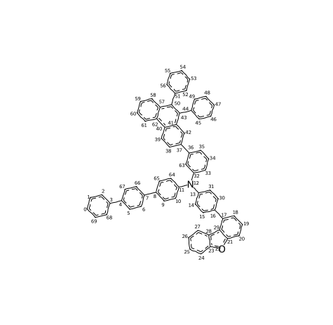 c1ccc(-c2ccc(-c3ccc(N(c4ccc(-c5cccc6oc7ccccc7c56)cc4)c4cccc(-c5ccc6c(c5)c(-c5ccccc5)c(-c5ccccc5)c5ccccc56)c4)cc3)cc2)cc1